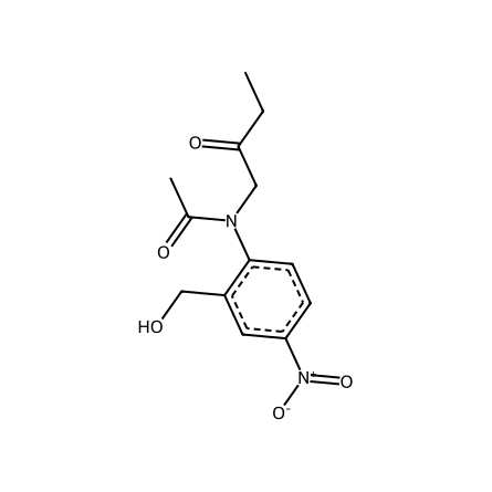 CCC(=O)CN(C(C)=O)c1ccc([N+](=O)[O-])cc1CO